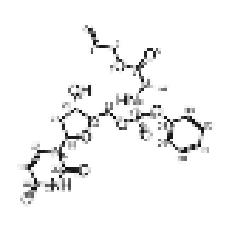 C=CCOC(=O)[C@H](C)N[P@](=O)(OC[C@H]1O[C@@H](n2ccc(=O)[nH]c2=O)C[C@@H]1O)Oc1ccccc1